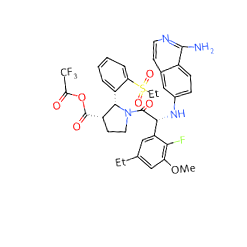 CCc1cc(OC)c(F)c([C@@H](Nc2ccc3c(N)nccc3c2)C(=O)N2CC[C@H](C(=O)OC(=O)C(F)(F)F)[C@@H]2c2ccccc2S(=O)(=O)CC)c1